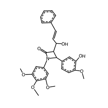 COc1ccc(C2C(C(O)C=Cc3ccccc3)C(=O)N2c2cc(OC)c(OC)c(OC)c2)cc1O